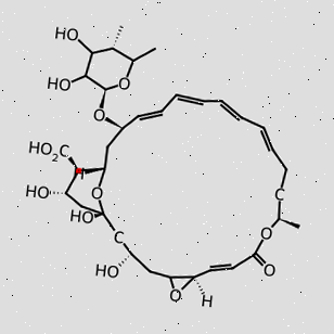 CC1O[C@@H](O[C@H]2/C=C/C=C/C=C/C=C\CC[C@@H](C)OC(=O)/C=C/[C@H]3OC3C[C@H](O)C[C@]3(O)C[C@H](O)[C@@H](C(=O)O)[C@H](C2)O3)C(O)C(O)[C@@H]1C